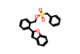 O=S(=O)(Cc1ccccc1)OCc1ccccc1-c1cc2ccccc2o1